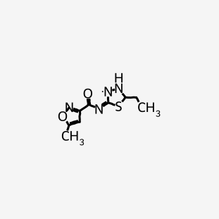 CCC1N[N]C(=NC(=O)c2cc(C)on2)S1